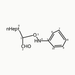 CCCCCCCC(C=O)ONc1ccccc1